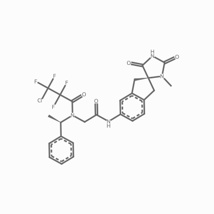 C[C@H](c1ccccc1)N(CC(=O)Nc1ccc2c(c1)C[C@@]1(C2)C(=O)NC(=O)N1C)C(=O)C(F)(F)C(F)(F)Cl